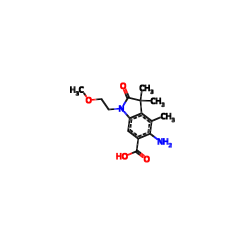 COCCN1C(=O)C(C)(C)c2c1cc(C(=O)O)c(N)c2C